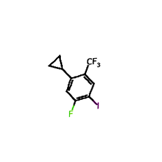 Fc1cc(C2CC2)c(C(F)(F)F)cc1I